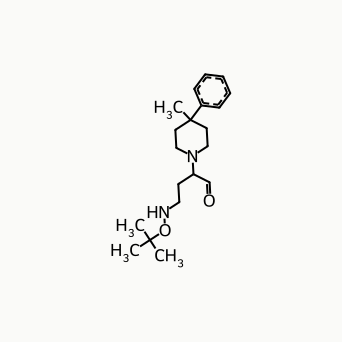 CC(C)(C)ONCCC(C=O)N1CCC(C)(c2ccccc2)CC1